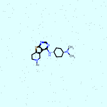 CC(=O)N1CCc2sc3ncnc(N[C@H]4CC[C@H](N(C)C)CC4)c3c2C1